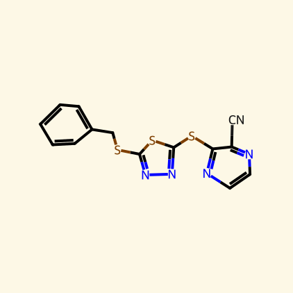 N#Cc1nccnc1Sc1nnc(SCc2ccccc2)s1